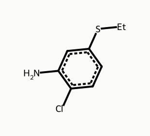 CCSc1ccc(Cl)c(N)c1